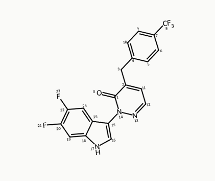 O=c1c(Cc2ccc(C(F)(F)F)cc2)ccnn1-c1c[nH]c2cc(F)c(F)cc12